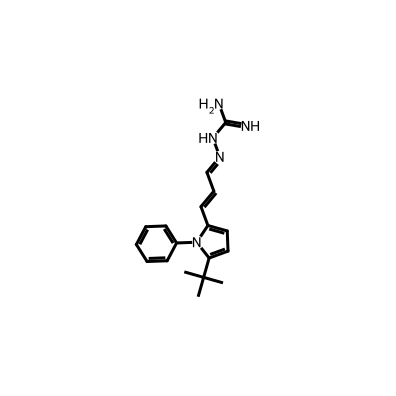 CC(C)(C)c1ccc(/C=C/C=N/NC(=N)N)n1-c1ccccc1